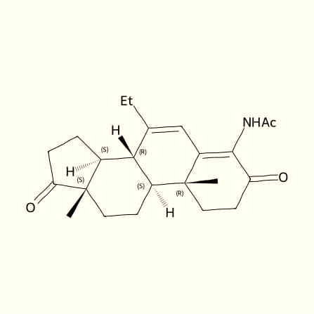 CCC1=CC2=C(NC(C)=O)C(=O)CC[C@]2(C)[C@H]2CC[C@]3(C)C(=O)CC[C@H]3[C@H]12